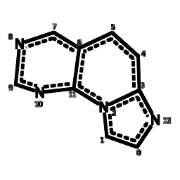 c1cn2c(ccc3cncnc32)n1